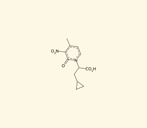 Cc1ccn(C(CC2CC2)C(=O)O)c(=O)c1[N+](=O)[O-]